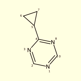 [c]1ncnc(C2CC2)n1